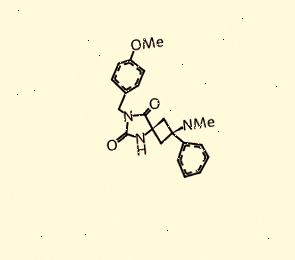 CN[C@]1(c2ccccc2)C[C@@]2(C1)NC(=O)N(Cc1ccc(OC)cc1)C2=O